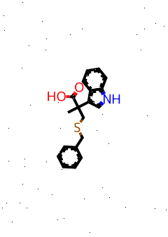 CC(CSCc1ccccc1)(C(=O)O)c1c[nH]c2ccccc12